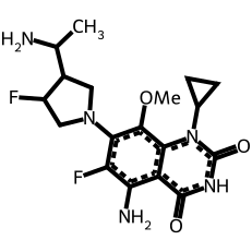 COc1c(N2CC(F)C(C(C)N)C2)c(F)c(N)c2c(=O)[nH]c(=O)n(C3CC3)c12